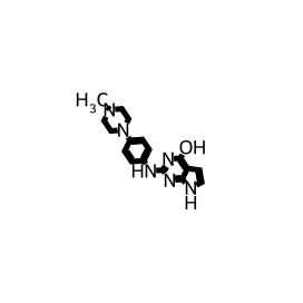 CN1CCN(c2ccc(Nc3nc(O)c4cc[nH]c4n3)cc2)CC1